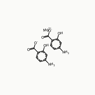 Nc1ccc(C(=O)[O-])c(O)c1.Nc1ccc(C(=O)[O-])c(O)c1.[Mg+2]